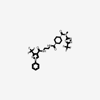 CN(c1nnc(C(F)(F)F)s1)C(=O)[C@H]1CC[C@H](C(=O)NCCNC(=O)c2cn(-c3ccccc3)nc2C(F)(F)F)CC1